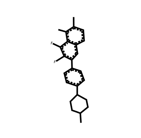 Cc1ccc2cc(-c3ccc(C4CCC(C)CC4)cc3)c(F)c(F)c2c1C